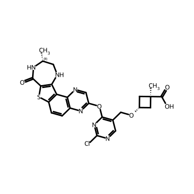 C[C@@H]1CNc2c(sc3ccc4nc(Oc5nc(Cl)ncc5CO[C@H]5C[C@](C)(C(=O)O)C5)cnc4c23)C(=O)N1